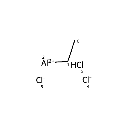 C[CH2][Al+2].Cl.[Cl-].[Cl-]